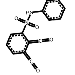 O=C=c1cccc(S(=O)(=O)Nc2ccccc2)c1=C=O